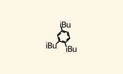 CCC(C)c1ccc(C(C)CC)c(C(C)CC)c1